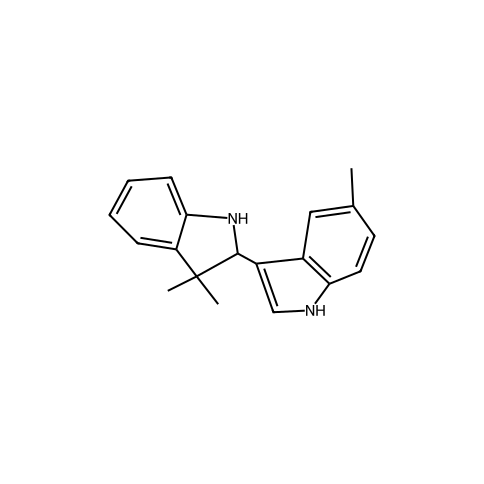 Cc1ccc2[nH]cc(C3Nc4ccccc4C3(C)C)c2c1